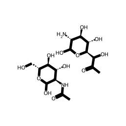 CC(=O)C(O)[C@H]1OC(O)[C@H](N)[C@@H](O)[C@@H]1O.CC(=O)N[C@H]1C(O)O[C@H](CO)[C@@H](O)[C@@H]1O